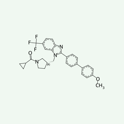 COc1ccc(-c2ccc(-c3nc4ccc(C(F)(F)F)cc4n3C[C@@H]3CCN(C(=O)C4CC4)C3)cc2)cc1